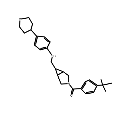 CC(C)(C)c1ccc(C(=O)N2CC3C(CNc4ccc(C5CCOCC5)cc4)C3C2)cc1